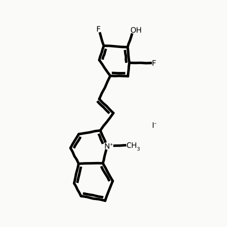 C[n+]1c(/C=C/c2cc(F)c(O)c(F)c2)ccc2ccccc21.[I-]